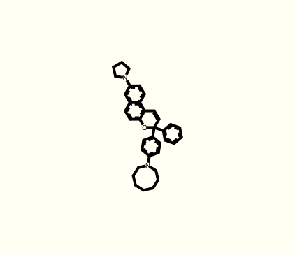 C1=CC(c2ccccc2)(c2ccc(N3CCCCCCC3)cc2)Oc2ccc3cc(N4CCCC4)ccc3c21